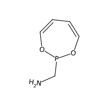 NCp1occcco1